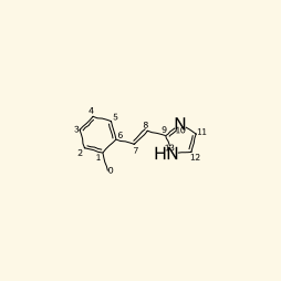 Cc1ccccc1/C=C/c1ncc[nH]1